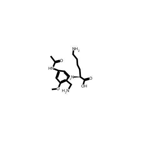 COc1cc(NC(C)=O)ccc1CN.NCCCC[C@H](N)C(=O)O